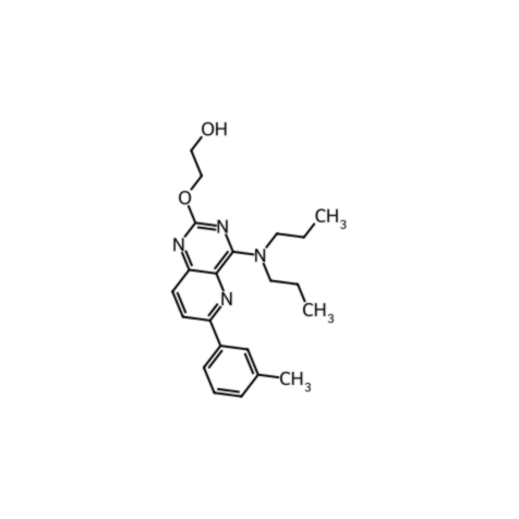 CCCN(CCC)c1nc(OCCO)nc2ccc(-c3cccc(C)c3)nc12